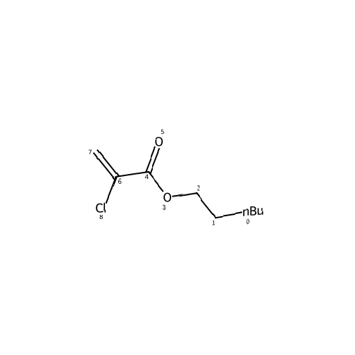 [CH2]CCCCCOC(=O)C(=C)Cl